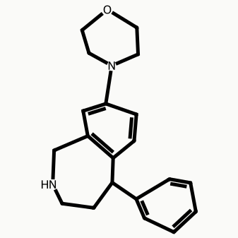 c1ccc(C2CCNCc3cc(N4CCOCC4)ccc32)cc1